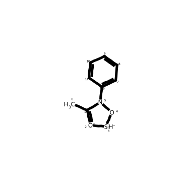 CC1=[O+][SiH-]ON1c1ccccc1